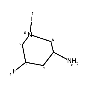 NC1CC(F)CN(I)C1